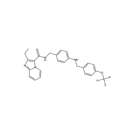 CCc1nc2ccccn2c1C(=O)NCc1ccc(NCc2ccc(OC(F)(F)F)cc2)cc1